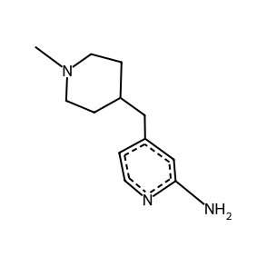 CN1CCC(Cc2ccnc(N)c2)CC1